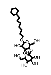 OCC1OC(OC2C(CO)OC(OCCCCCCCC3CCCCC3)C(O)C2O)C(O)C(O)C1O